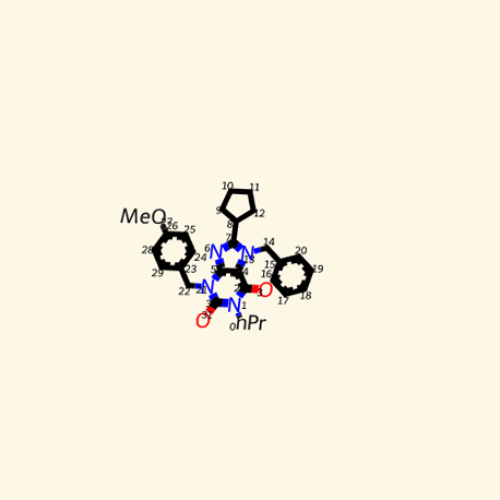 CCCn1c(=O)c2c(nc(C3CCCC3)n2Cc2ccccc2)n(Cc2ccc(OC)cc2)c1=O